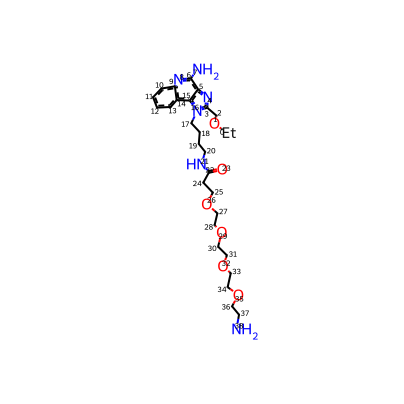 CCOCc1nc2c(N)nc3ccccc3c2n1CCCCNC(=O)CCOCCOCCOCCOCCN